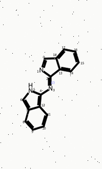 C1=N/C(=N\c2[nH]cc3ccccc23)c2ccccc21